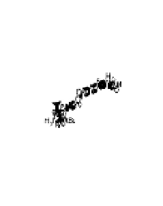 CC(C)(C)n1nc(-c2noc(C3CC3)c2-c2ncc(C3CCN(C(=O)OCC(=O)N4CCC(N5CCN(c6ccc(NC7CCC(=O)NC7=O)cc6F)CC5)CC4)CC3)cn2)c2c(N)ncnc21